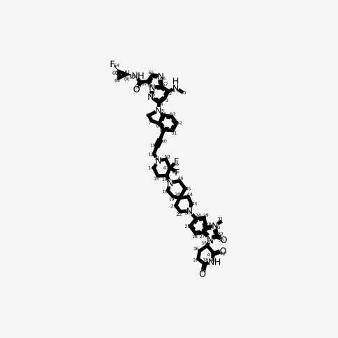 CNc1cc(N2CCc3c(C#CCN4CCC(N5CCC6(CCN(c7ccc8c(c7)n(C)c(=O)n8C7CCC(=O)NC7=O)CC6)CC5)C(F)(F)C4)cccc32)nn2c(C(=O)N[C@@H]3C[C@@H]3F)cnc12